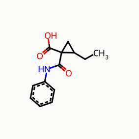 CCC1CC1(C(=O)O)C(=O)Nc1ccccc1